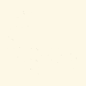 CC1(n2c(-c3ccc(OC(F)(F)F)cc3)nc3cc(C(=O)N4CCC(c5cccnc5)C4)ccc32)CC1